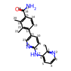 Cc1ncccc1Nc1ccc(-c2ccc(C(N)=O)c(C)c2C)cn1